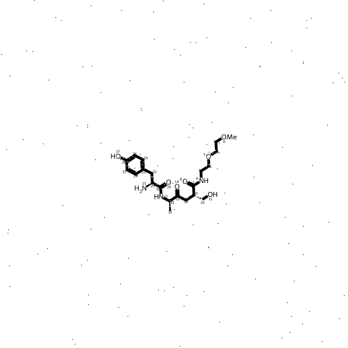 COCCOCCNC(=O)[C@H](CO)CC(=O)[C@@H](C)NC(=O)[C@@H](N)Cc1ccc(O)cc1